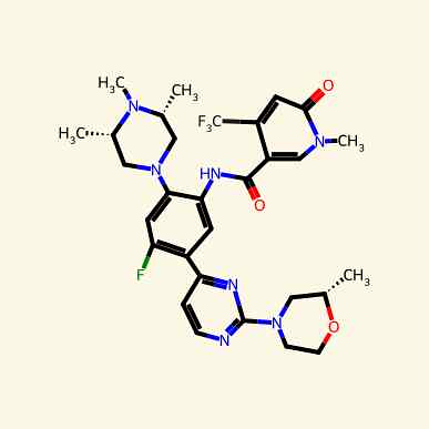 C[C@@H]1CN(c2cc(F)c(-c3ccnc(N4CCO[C@@H](C)C4)n3)cc2NC(=O)c2cn(C)c(=O)cc2C(F)(F)F)C[C@H](C)N1C